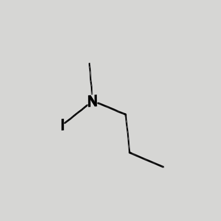 CCCN(C)I